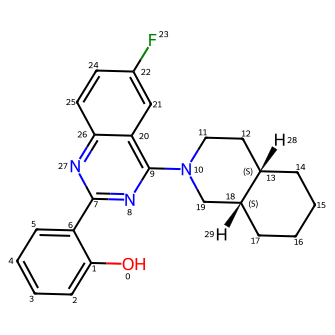 Oc1ccccc1-c1nc(N2CC[C@@H]3CCCC[C@@H]3C2)c2cc(F)ccc2n1